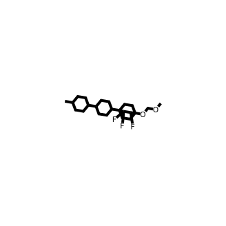 COCOC12CCC(C3CCC(C4CCC(C)CC4)CC3)(CC1)C(F)(F)C2F